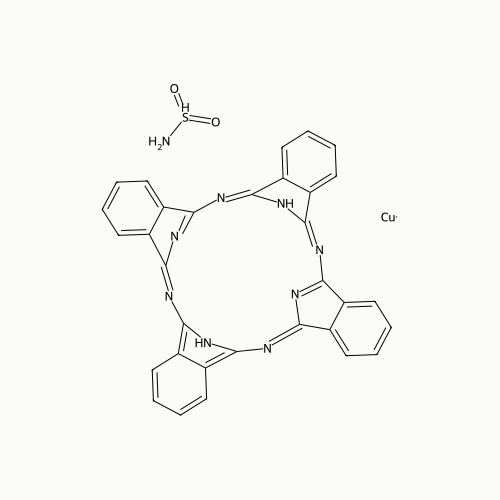 N[SH](=O)=O.[Cu].c1ccc2c(c1)-c1nc-2nc2[nH]c(nc3nc(nc4[nH]c(n1)c1ccccc41)-c1ccccc1-3)c1ccccc21